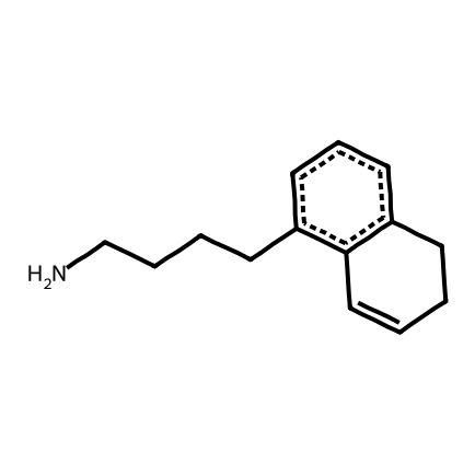 NCCCCc1cccc2c1C=CCC2